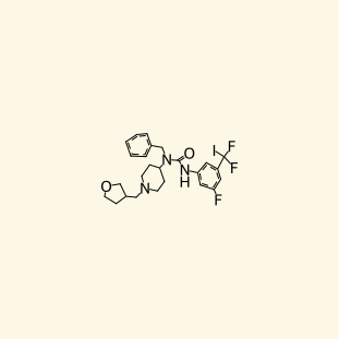 O=C(Nc1cc(F)cc(C(F)(F)I)c1)N(Cc1ccccc1)C1CCN(CC2CCOC2)CC1